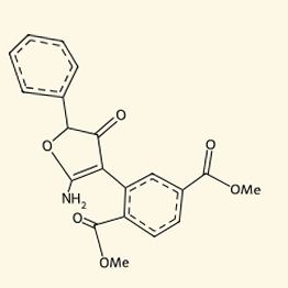 COC(=O)c1ccc(C(=O)OC)c(C2=C(N)OC(c3ccccc3)C2=O)c1